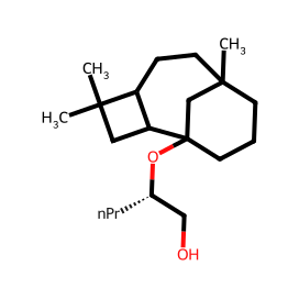 CCC[C@@H](CO)OC12CCCC(C)(CCC3C1CC3(C)C)C2